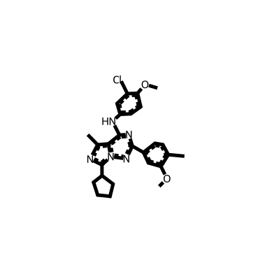 COc1cc(-c2nc(Nc3ccc(OC)c(Cl)c3)c3c(C)nc(C4CCCC4)n3n2)ccc1C